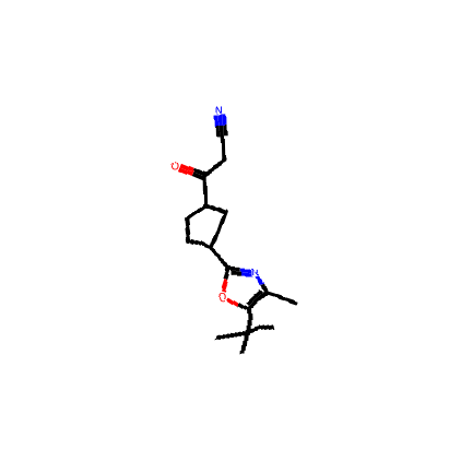 Cc1nc(C2CCC(C(=O)CC#N)C2)oc1C(C)(C)C